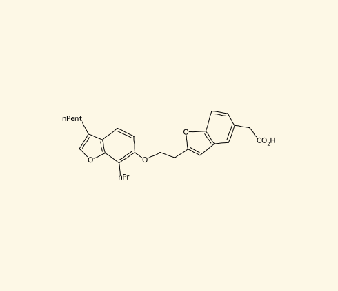 CCCCCc1coc2c(CCC)c(OCCc3cc4cc(CC(=O)O)ccc4o3)ccc12